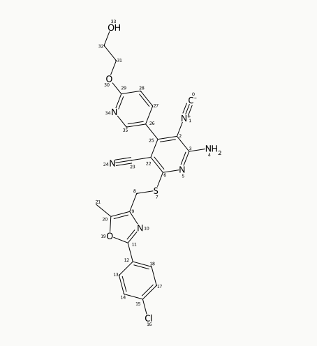 [C-]#[N+]c1c(N)nc(SCc2nc(-c3ccc(Cl)cc3)oc2C)c(C#N)c1-c1ccc(OCCO)nc1